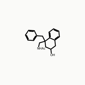 CC(=O)NCC1(Cc2ccccc2)CC(O)Cc2ccccc21